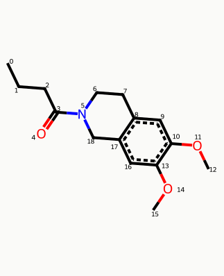 CCCC(=O)N1CCc2cc(OC)c(OC)cc2C1